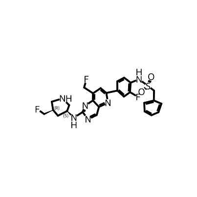 O=S(=O)(Cc1ccccc1)Nc1ccc(-c2cc(CF)c3nc(N[C@@H]4CNC[C@H](CF)C4)ncc3n2)cc1F